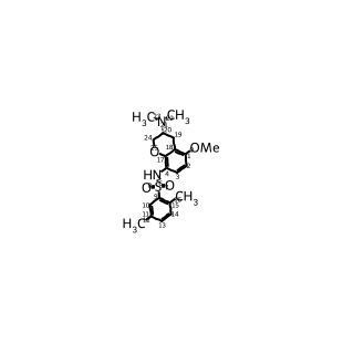 COc1ccc(NS(=O)(=O)c2cc(C)ccc2C)c2c1C[C@@H](N(C)C)CO2